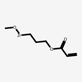 C=CC(=O)OCC[CH2][Zr][O]C